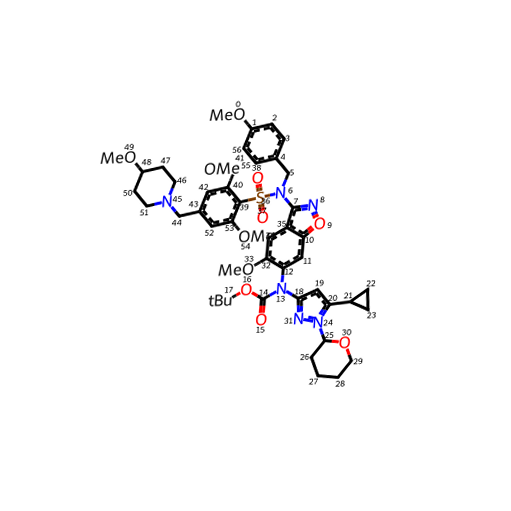 COc1ccc(CN(c2noc3cc(N(C(=O)OC(C)(C)C)c4cc(C5CC5)n(C5CCCCO5)n4)c(OC)cc23)S(=O)(=O)c2c(OC)cc(CN3CCC(OC)CC3)cc2OC)cc1